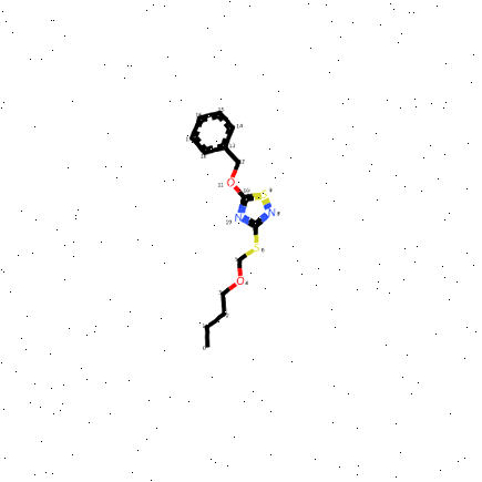 CCCCOCSc1nsc(OCc2ccccc2)n1